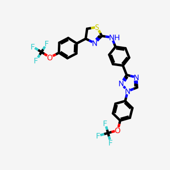 FC(F)(F)Oc1ccc(C2CSC(Nc3ccc(-c4ncn(-c5ccc(OC(F)(F)F)cc5)n4)cc3)=N2)cc1